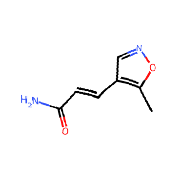 Cc1oncc1C=CC(N)=O